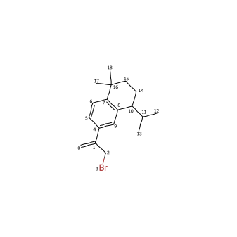 C=C(CBr)c1ccc2c(c1)C(C(C)C)CCC2(C)C